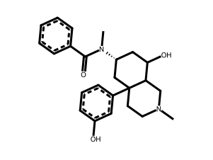 CN1CCC2(c3cccc(O)c3)C[C@H](N(C)C(=O)c3ccccc3)CC(O)C2C1